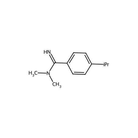 CC(C)c1ccc(C(=N)N(C)C)cc1